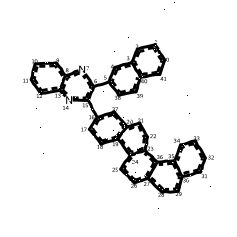 c1ccc2cc(-c3nc4ccccc4nc3-c3ccc4c(ccc5c4ccc4ccc6ccccc6c45)c3)ccc2c1